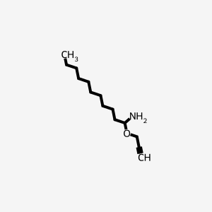 C#CCOC(N)CCCCCCCCCC